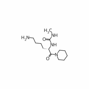 CNC(=O)N[C@@H](CCCCN)C(=O)N1CCCCC1